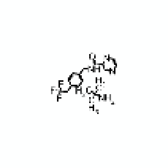 CC(C)(C)N.O=C(NCc1ccc(CC(F)(F)F)cc1)c1cnccn1